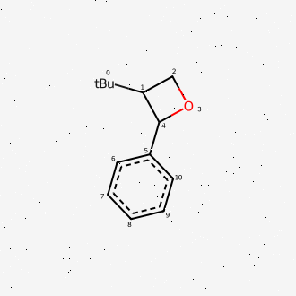 CC(C)(C)C1COC1c1ccccc1